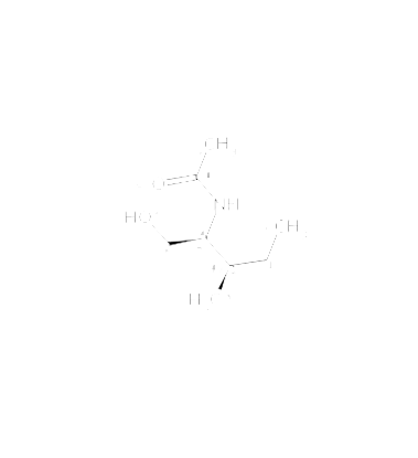 CC[C@@H](C)[C@@H](CO)NC(C)=O